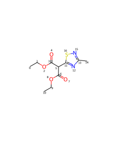 CCOC(=O)C(C(=O)OCC)c1nc(C)ns1